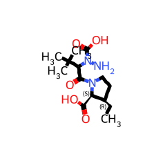 CC[C@@H]1CCN(C(=O)C(N(N)C(=O)O)C(C)(C)C)[C@@H]1C(=O)O